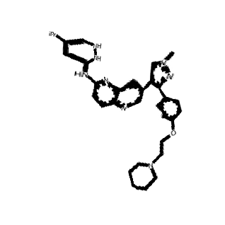 CC(C)C1=CNNC(Nc2ccc3ncc(-c4cn(C)nc4-c4ccc(OCCN5CCCCC5)cc4)cc3n2)=C1